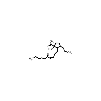 CCCCCC(=O)/C=C\CCC1C(CCC)CCC1(C)C(C)=O